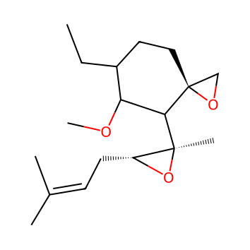 CCC1CC[C@]2(CO2)C([C@@]2(C)O[C@@H]2CC=C(C)C)C1OC